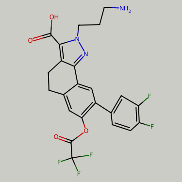 NCCCn1nc2c(c1C(=O)O)CCc1cc(OC(=O)C(F)(F)F)c(-c3ccc(F)c(F)c3)cc1-2